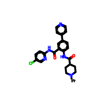 CC(C)N1CCC(C(=O)Nc2ccc(-c3ccncc3)cc2C(=O)Nc2ccc(Cl)cn2)CC1